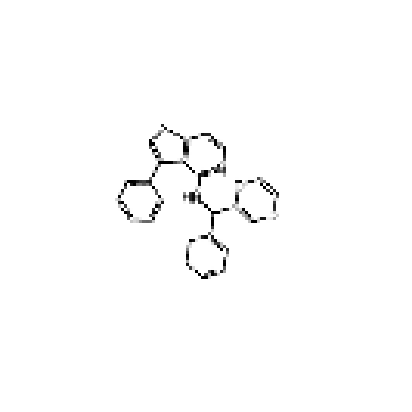 C1=CCCC(C(Nc2nccc3scc(-c4ccccc4)c23)C2=COC=CO2)=C1